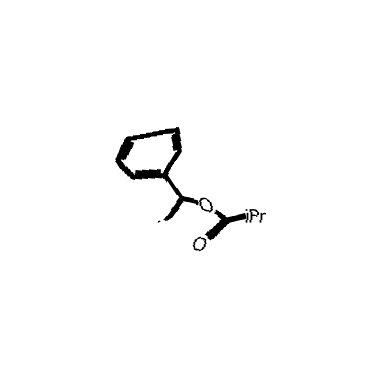 [CH2]C(OC(=O)C(C)C)c1ccccc1